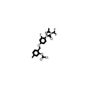 CCC(=O)Oc1cc(C)ccc1COc1ccc(-n2nc(C)n(C(F)F)c2=O)c(F)c1